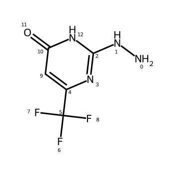 NNc1nc(C(F)(F)F)cc(=O)[nH]1